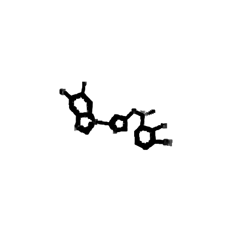 C[C@@H](Oc1csc(-n2cnc3cc(Cl)c(F)cc32)c1)c1cccc(O)c1Cl